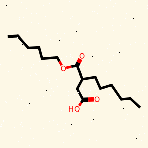 CCCCCCOC(=O)C(CCCCCC)CC(=O)O